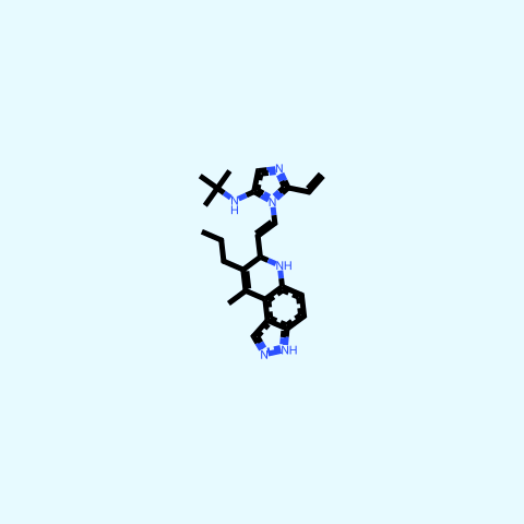 C=Cc1ncc(NC(C)(C)C)n1/C=C/C1Nc2ccc3[nH]ncc3c2C(C)=C1CCC